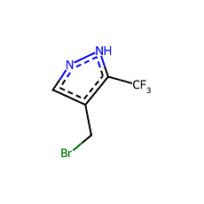 FC(F)(F)c1[nH]ncc1CBr